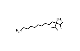 CC(C)C(N)(CCCCCCCCCN)C(C)C